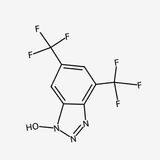 On1nnc2c(C(F)(F)F)cc(C(F)(F)F)cc21